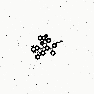 CCCCc1ccc(N(c2ccccc2)c2cc3c4c(c2)N2c5ccccc5C5(c6ccccc6-c6ccccc65)c5cccc(c52)B4N(c2ccc4c(c2)C(C)(C)CCC4(C)C)c2c-3ccc3c2oc2ccccc23)cc1